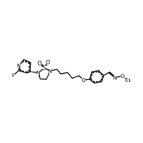 CCO/N=C/c1ccc(OCCCCCN2CCN(c3ccnc(F)c3)S2(=O)=O)cc1